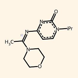 C/C(=N/c1ccn(C(C)C)c(=O)n1)N1CCOCC1